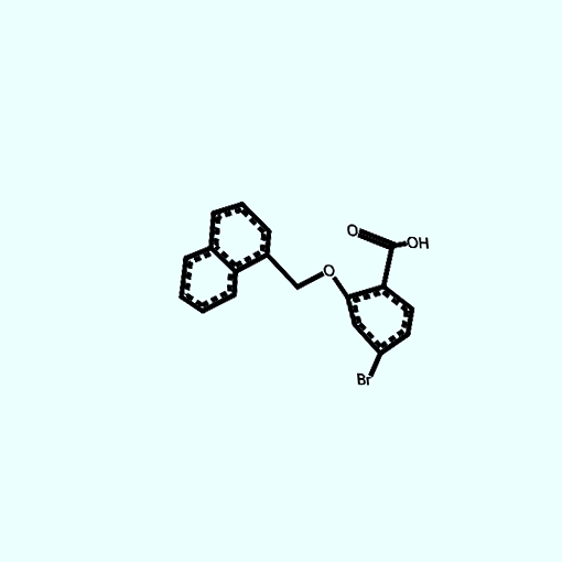 O=C(O)c1ccc(Br)cc1OCc1cccc2ccccc12